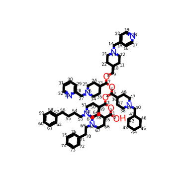 OC(OC(OC(OC(OCC1CCN(Cc2ccncc2)CC1)C1CCN(Cc2ccccn2)CC1)C1CCN(CC2CCCCC2)CC1)C1CCN(CCCCc2ccccc2)CC1)C1CCN(CCc2ccccc2)CC1